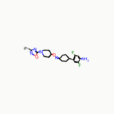 CC(C)c1noc(N2CCC(ON=C3CCC(c4cc(F)c(N)cc4F)CC3)CC2)n1